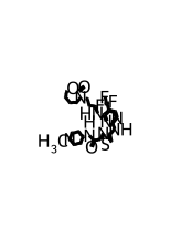 CN1CCC(NC(=O)c2nc(Nc3ncc(C(F)(F)F)c(NCCCN4CCCCOC4=O)n3)cs2)CC1